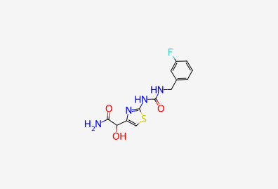 NC(=O)C(O)c1csc(NC(=O)NCc2cccc(F)c2)n1